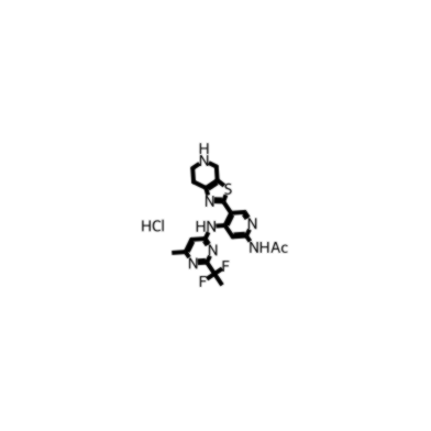 CC(=O)Nc1cc(Nc2cc(C)nc(C(C)(F)F)n2)c(-c2nc3c(s2)CNCC3)cn1.Cl